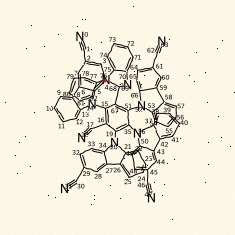 N#Cc1ccc2c(c1)c1ccccc1n2-c1c(C#N)c(-n2c3ccccc3c3cc(C#N)ccc32)c(-n2c3ccccc3c3cc(C#N)ccc32)c(-n2c3ccccc3c3cc(C#N)ccc32)c1-c1nc2ccccc2n1-c1ccccc1